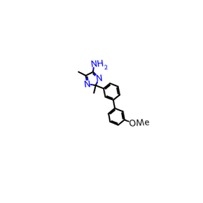 COc1cccc(-c2cccc(C3(C)N=C(C)C(N)=N3)c2)c1